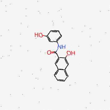 O=C(Nc1cccc(O)c1)c1cc2ccccc2cc1O